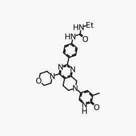 CCNC(=O)Nc1ccc(-c2nc3c(c(N4CCOCC4)n2)CCN(c2c[nH]c(=O)c(C)c2)C3)cc1